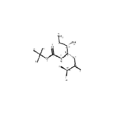 CC(C[C@H](NC(=O)OC(C)(C)C)[C@@H](O)CN)[C@H](C)I